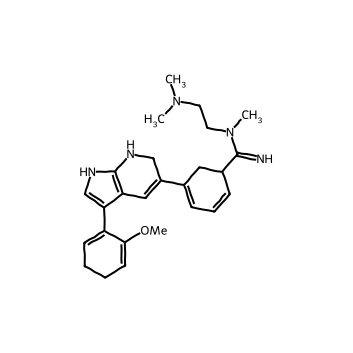 COC1=CCCC=C1c1c[nH]c2c1C=C(C1=CC=CC(C(=N)N(C)CCN(C)C)C1)CN2